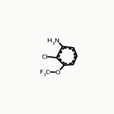 Nc1cccc(OC(F)(F)F)c1Cl